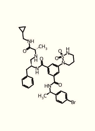 C[C@H](NC[C@H](Cc1ccccc1)NC(=O)c1cc(C(=O)N[C@H](C)c2ccc(Br)cc2)cc(N2CCCNS2(=O)=O)c1)C(=O)NCC1CC1